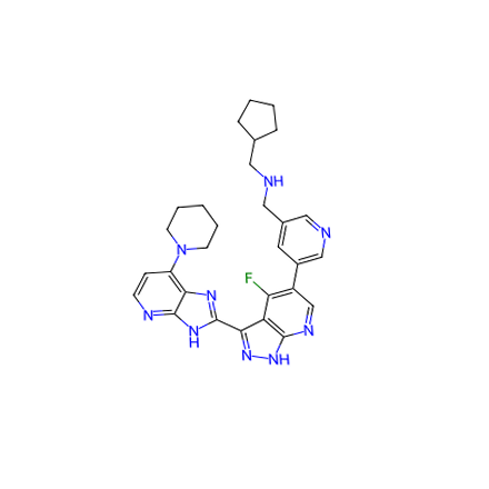 Fc1c(-c2cncc(CNCC3CCCC3)c2)cnc2[nH]nc(-c3nc4c(N5CCCCC5)ccnc4[nH]3)c12